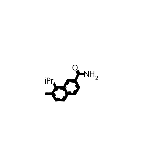 Cc1ccc2ccc(C(N)=O)cc2c1C(C)C